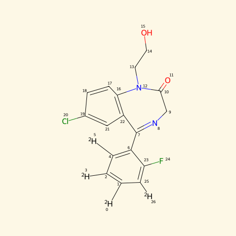 [2H]c1c([2H])c([2H])c(C2=NCC(=O)N(CCO)c3ccc(Cl)cc32)c(F)c1[2H]